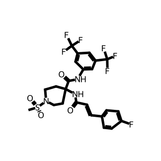 CS(=O)(=O)N1CCC(NC(=O)C=Cc2ccc(F)cc2)(C(=O)Nc2cc(C(F)(F)F)cc(C(F)(F)F)c2)CC1